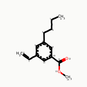 C=[C]c1cc(CCCC)cc(C(=O)OC)c1